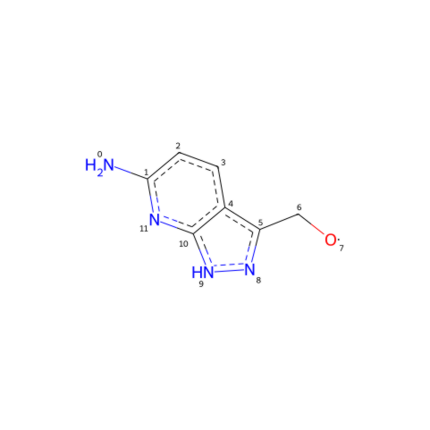 Nc1ccc2c(C[O])n[nH]c2n1